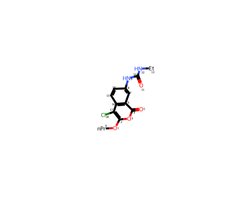 CCCOc1oc(=O)c2cc(NC(=O)NCC)ccc2c1Cl